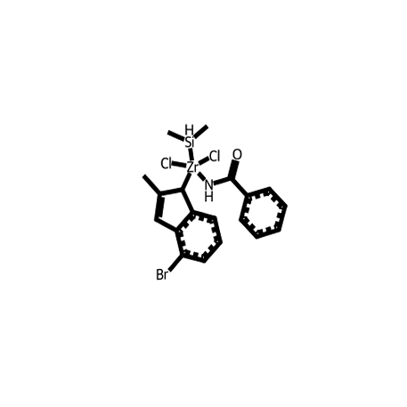 CC1=Cc2c(Br)cccc2[CH]1[Zr]([Cl])([Cl])([NH]C(=O)c1ccccc1)[SiH](C)C